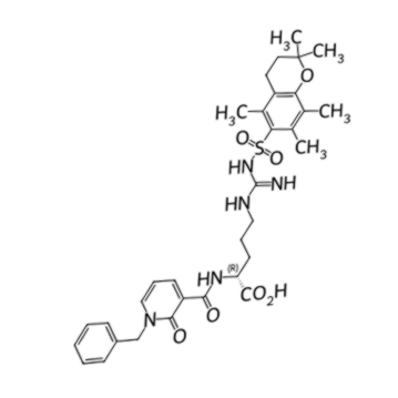 Cc1c(C)c(S(=O)(=O)NC(=N)NCCC[C@@H](NC(=O)c2cccn(Cc3ccccc3)c2=O)C(=O)O)c(C)c2c1OC(C)(C)CC2